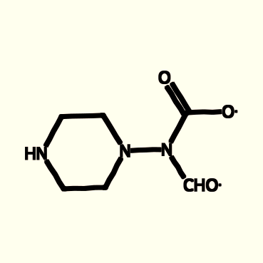 [O]C(=O)N([C]=O)N1CCNCC1